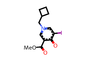 COC(=O)c1cn(CC2CCC2)cc(I)c1=O